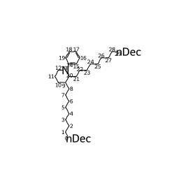 CCCCCCCCCCCCCCCCCCC1CCCN(c2ccccc2)C1CCCCCCCCCCCCCCCCCC